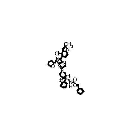 Cn1cc2c(Cl)c(-c3nn(C4CCCCO4)c4nc(N5CC[C@@H]6[C@H](C5)[C@@]6(CNC(=O)OCc5ccccc5)c5ccccc5F)cnc34)ccc2n1